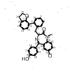 CN1C(=O)C(Cc2ccccc2-c2cccc3c2OCC3)N=C(c2ccc(O)cc2)c2cc(Cl)ccc21